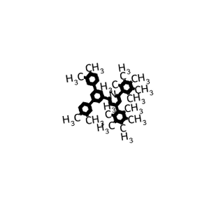 Cc1ccc(-c2cc(-c3ccc(C)c(C)c3)cc(-c3cc(-c4c(C)c(C)c(C)c(C)c4C)cc(-c4c(C)c(C)c(C)c(C)c4C)n3)c2)cc1C